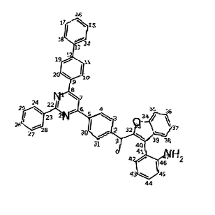 CC(c1ccc(-c2cc(-c3ccc(-c4ccccc4)cc3)nc(-c3ccccc3)n2)cc1)c1oc2ccccc2c1-c1ccccc1N